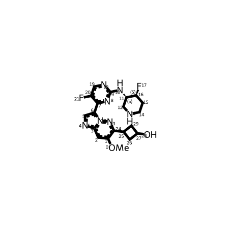 COc1cc2ncc(-c3nc(N[C@H]4CNCC[C@@H]4F)ncc3F)n2nc1C1CC(O)C1